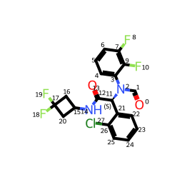 O=CN(c1cccc(F)c1F)[C@H](C(=O)NC1CC(F)(F)C1)c1ccccc1Cl